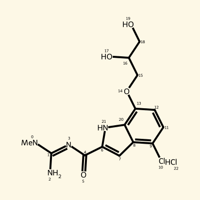 CNC(N)=NC(=O)c1cc2c(Cl)ccc(OCC(O)CO)c2[nH]1.Cl